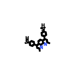 Cc1cc(-c2ccc([SiH](C)C)cc2)c2ccc3c(-c4ccc([SiH](C)C)cc4)cc(C)nc3c2n1